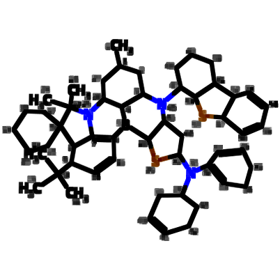 CC1CC2C3B(C4=C5C(C(C(C)(C)C)C=C4)C4(CCCCC4)C(C)(C)N5C3C1)C1SC(N(C3=CCCC=C3)C3CC=CCC3)CC1N2C1CCCC2C3C=CC=CC3SC21